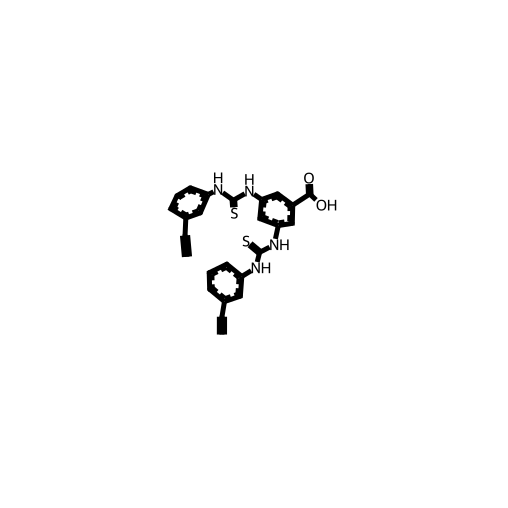 C#Cc1cccc(NC(=S)Nc2cc(NC(=S)Nc3cccc(C#C)c3)cc(C(=O)O)c2)c1